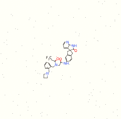 O=C(CN(Cc1ccccc1CN1CCC1)C(=O)CC(F)(F)F)Nc1ccc2c(c1)CC1(C2)C(=O)Nc2ncccc21